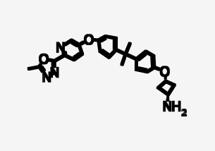 Cc1nnc(-c2ccc(Oc3ccc(C(C)(C)c4ccc(O[C@H]5C[C@H](N)C5)cc4)cc3)cn2)o1